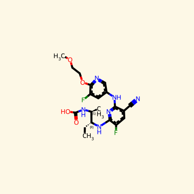 CC[C@@H](Nc1nc(Nc2cnc(OCCOC)c(F)c2)c(C#N)cc1F)[C@H](C)NC(=O)O